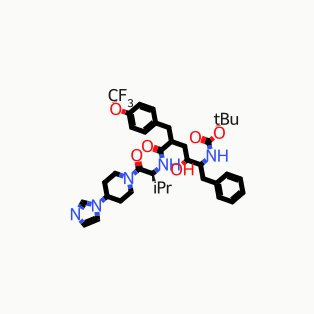 CC(C)[C@H](NC(=O)C(Cc1ccc(OC(F)(F)F)cc1)CC(O)C(Cc1ccccc1)NC(=O)OC(C)(C)C)C(=O)N1CCC(n2ccnc2)CC1